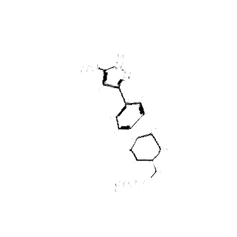 CCOC(=O)C[C@H]1CC[C@H](c2ccc(-c3cc(O)[nH]n3)cc2)CC1